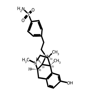 C[C@@H]1CN(C)[C@@H]2Cc3ccc(O)cc3[C@@]1(C)[C@@H]2NCCc1ccc(S(N)(=O)=O)cc1